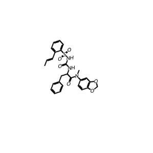 CC=Cc1ccccc1S(=O)(=O)NC(=O)NC(Cc1ccccc1)C(=O)N(C)c1ccc2c(c1)OCO2